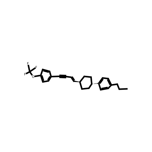 CCCc1ccc([C@H]2CC[C@H](/C=C/C#Cc3ccc(OC(F)(F)F)cc3)CC2)cc1